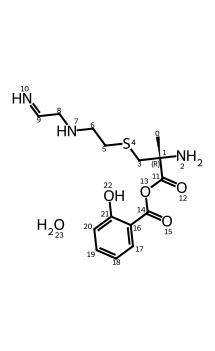 C[C@](N)(CSCCNCC=N)C(=O)OC(=O)c1ccccc1O.O